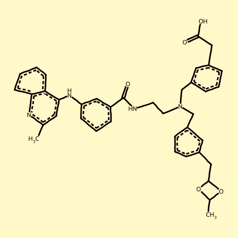 Cc1cc(Nc2cccc(C(=O)NCCN(Cc3cccc(CC(=O)O)c3)Cc3cccc(CC4OC(C)O4)c3)c2)c2ccccc2n1